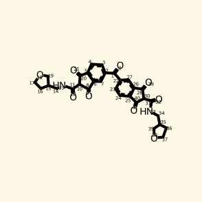 O=C(c1ccc2c(c1)C(=O)C(C(=O)NCC1CCOC1)C2=O)c1ccc2c(c1)C(=O)C(C(=O)NCC1CCOC1)C2=O